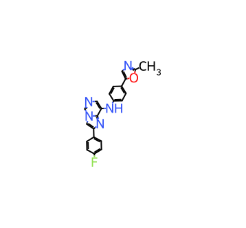 Cc1ncc(-c2ccc(Nc3cncn4cc(-c5ccc(F)cc5)nc34)cc2)o1